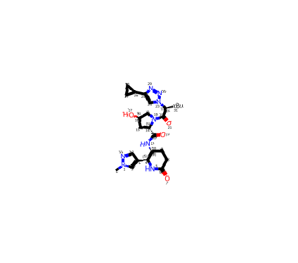 Cn1cc([C@@H]2NC(=O)CC[C@H]2NC(=O)[C@@H]2C[C@@H](O)CN2C(=O)[C@@H](n2cc(C3CC3)nn2)C(C)(C)C)cn1